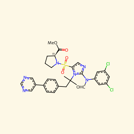 COC(=O)[C@@H]1CCCN1S(=O)(=O)c1cnc(N(C=O)c2cc(Cl)cc(Cl)c2)n1C(C)(C)Cc1ccc(-c2cncnc2)cc1